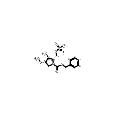 CO[C@H]1CN(C(=O)OCc2ccccc2)[C@@H](COS(C)(=O)=O)[C@@H]1C